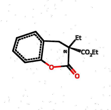 CCOC(=O)[C@]1(CC)Cc2ccccc2OC1=O